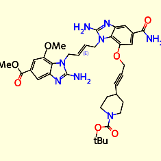 COC(=O)c1cc(OC)c2c(c1)nc(N)n2C/C=C/Cn1c(N)nc2cc(C(N)=O)cc(OCC#CC3CCN(C(=O)OC(C)(C)C)CC3)c21